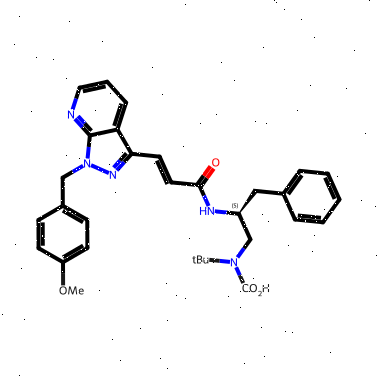 COc1ccc(Cn2nc(C=CC(=O)N[C@@H](Cc3ccccc3)CN(C(=O)O)C(C)(C)C)c3cccnc32)cc1